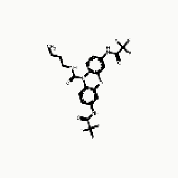 CCCCNC(=O)N1c2ccc(NC(=O)C(F)(F)F)cc2Oc2cc(NC(=O)C(F)(F)F)ccc21